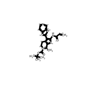 C=CC(=O)Nc1sc2c(c1-c1nc3cnccc3s1)CCN(C(=O)OC(C)(C)C)[C@@H]2C